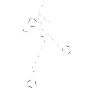 CC(=O)Oc1cc(O)c2c3c1O[C@H]1[C@H](N(CCCCc4ccccc4)C(=O)CCCCCCCCCCc4ccccc4)CC[C@H]4[C@@H](C2)N(CC2CC2)CC[C@@]341